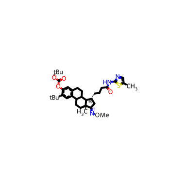 CO/N=C1\C[C@@H](CCCC(=O)Nc2ncc(C)s2)C2C3CCc4cc(OC(=O)OC(C)(C)C)c(C(C)(C)C)cc4C3CC[C@]12C